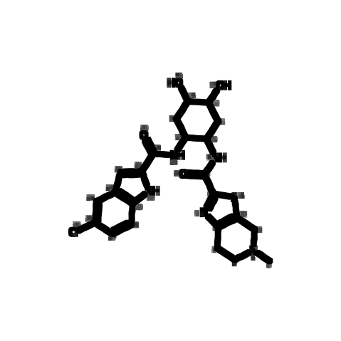 CN1CCc2nc(C(=O)NC3CC(O)C(O)CC3NC(=O)c3cc4cc(Cl)ccc4[nH]3)sc2C1